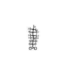 O=[S](=O)C(I)(I)C(I)(I)C(I)(I)C(I)(I)C(I)(I)C(I)(I)I